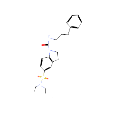 CCN(CC)S(=O)(=O)c1ccc2c(c1)CCN2C(=O)N(C)CCCc1ccccc1